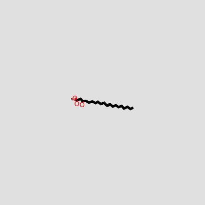 CCCCCCCCC=CCCCCCCCC(=O)CC(=O)OC